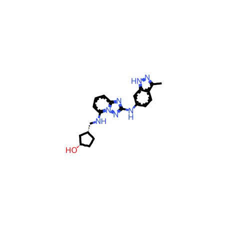 Cc1n[nH]c2cc(Nc3nc4cccc(NC[C@@H]5CC[C@H](O)C5)n4n3)ccc12